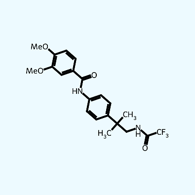 COc1ccc(C(=O)Nc2ccc(C(C)(C)CNC(=O)C(F)(F)F)cc2)cc1OC